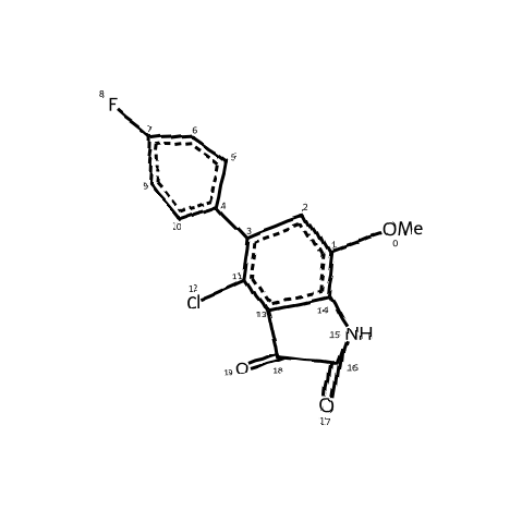 COc1cc(-c2ccc(F)cc2)c(Cl)c2c1NC(=O)C2=O